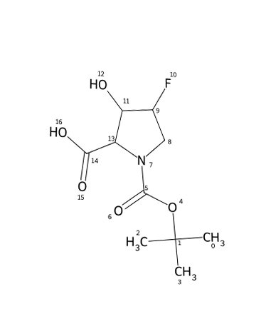 CC(C)(C)OC(=O)N1CC(F)C(O)C1C(=O)O